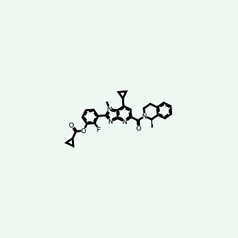 C[C@@H]1c2ccccc2CCN1C(=O)c1cc(C2CC2)c2c(n1)nc(-c1cccc(OC(=O)C3CC3)c1F)n2C